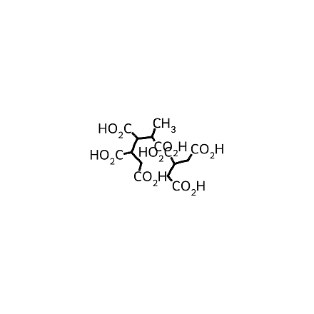 CC(C(=O)O)C(C(=O)O)C(CC(=O)O)C(=O)O.O=C(O)CC(CC(=O)O)C(=O)O